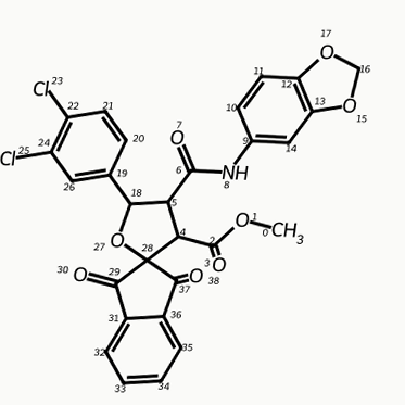 COC(=O)C1C(C(=O)Nc2ccc3c(c2)OCO3)C(c2ccc(Cl)c(Cl)c2)OC12C(=O)c1ccccc1C2=O